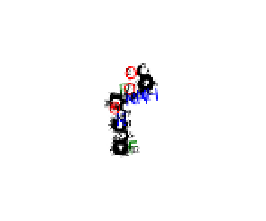 CC(=O)c1cccc(NC(=O)N[C@@H]2[C@@H](F)CCO[C@@H]2CN2CCC[C@H](Cc3ccccc3F)C2)c1